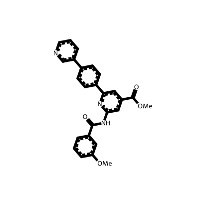 COC(=O)c1cc(NC(=O)c2cccc(OC)c2)nc(-c2ccc(-c3cccnc3)cc2)c1